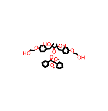 CC(O)(Cc1ccc(OCCO)cc1)C(=O)C(C)(O)Cc1ccc(OCCO)cc1.COC(OC)(C(=O)c1ccccc1)c1ccccc1